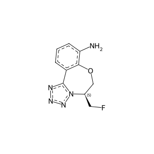 Nc1cccc2c1OC[C@@H](CF)n1nnnc1-2